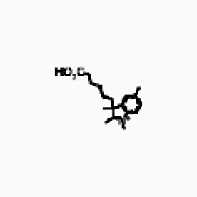 CC1=[N+](C)c2ccc(C)cc2C1(C)CCCCCC(=O)O